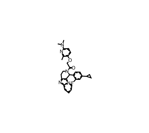 Cc1nc(N(C)C)ccc1OCC(=O)N1CCc2nc3ccccn3c2C1c1ccc(C2CC2)cc1F